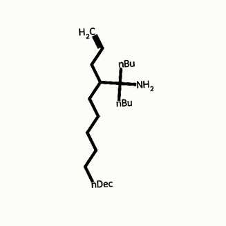 C=CCC(CCCCCCCCCCCCCCC)C(N)(CCCC)CCCC